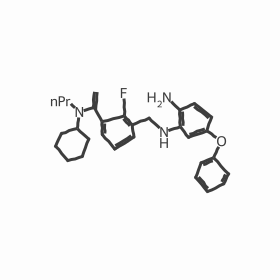 C=C(c1cccc(CNc2cc(Oc3ccccc3)ccc2N)c1F)N(CCC)C1CCCCC1